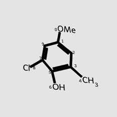 COc1cc(C)c(O)c(Cl)c1